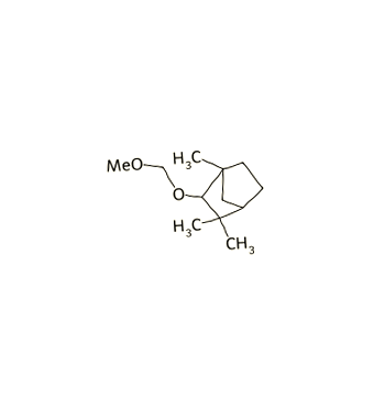 COCOC1C2(C)CCC(C2)C1(C)C